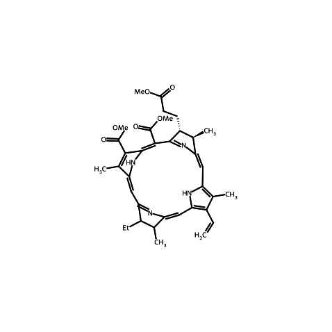 C=Cc1c(C)c2cc3nc(c(C(=O)OC)c4[nH]c(cc5nc(cc1[nH]2)C(C)C5CC)c(C)c4C(=O)OC)[C@H](CCC(=O)OC)[C@H]3C